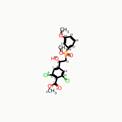 COC(=O)c1c(Cl)cc(C(O)CP(=O)(OC)c2cccc(OC)c2)cc1Cl